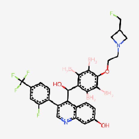 Bc1c(B)c(C(O)c2c(-c3ccc(C(F)(F)F)cc3F)cnc3cc(O)ccc23)c(B)c(B)c1OCCN1CC(CF)C1